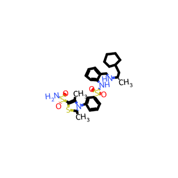 CC1=C(S(N)(=O)=O)SC(C)N1c1cccc(S(=O)(=O)Nc2ccccc2CN[C@@H](C)CC2CCCCC2)c1